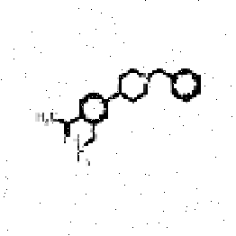 C=C(C)c1ccc(C2CCN(Cc3ccccc3)CC2)cc1CC